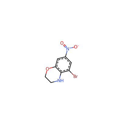 O=[N+]([O-])c1cc(Br)c2c(c1)OCCN2